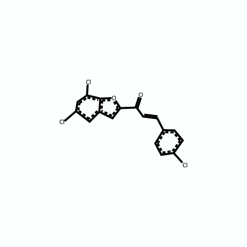 O=C(C=Cc1ccc(Cl)cc1)c1cc2cc(Cl)cc(Cl)c2o1